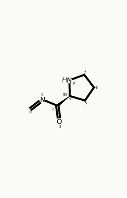 C=NC(=O)[C@@H]1CCCN1